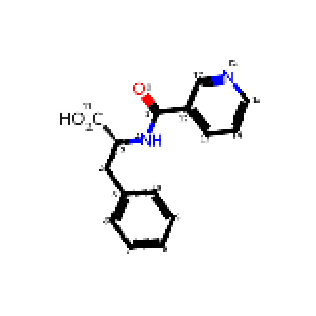 O=C(N[C@@H](Cc1ccccc1)C(=O)O)c1cccnc1